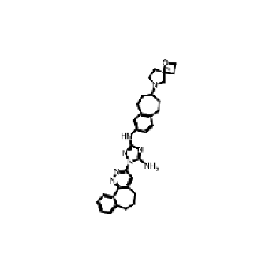 Nc1nc(Nc2ccc3c(c2)CCC(N2CC[C@@]4(CCO4)C2)CC3)nn1-c1cc2c(nn1)-c1ccccc1CCC2